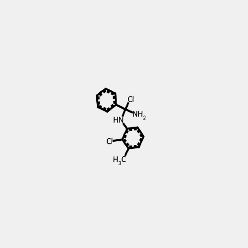 Cc1cccc(NC(N)(Cl)c2ccccc2)c1Cl